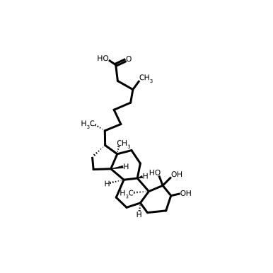 CC(CCC[C@@H](C)[C@H]1CC[C@H]2[C@@H]3CC[C@@H]4CCC(O)C(O)(O)[C@]4(C)[C@H]3CC[C@]12C)CC(=O)O